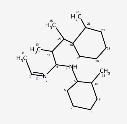 C/C=N\C(NC1CCCCC1C)C(C)C(C)C1CCCCC1C